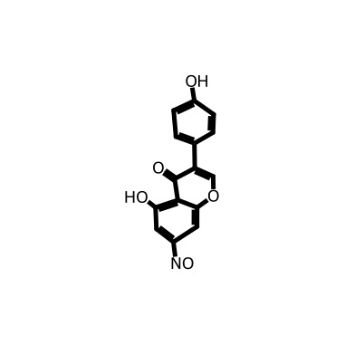 O=Nc1cc(O)c2c(=O)c(-c3ccc(O)cc3)coc2c1